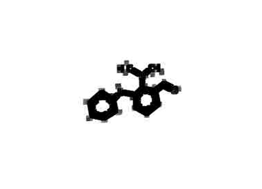 CN(C)c1c(C=O)cccc1Sc1ccccc1